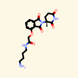 C[C@@]1(N2C(=O)c3cccc(OCC(=O)NCCCCN)c3C2=O)CCC(=O)NC1=O